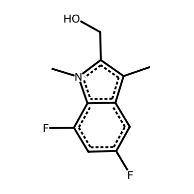 Cc1c(CO)n(C)c2c(F)cc(F)cc12